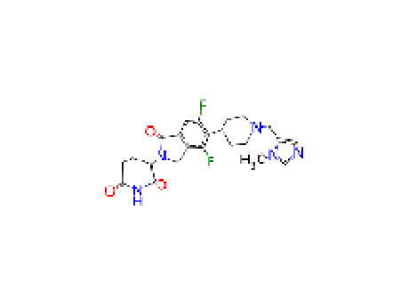 Cn1cncc1CN1CCC(c2c(F)cc3c(c2F)CN(C2CCC(=O)NC2=O)C3=O)CC1